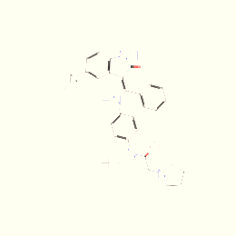 CN(C(=O)CN1CCCC1)c1ccc(NC(=C2C(=O)Nc3ccc([N+](=O)[O-])cc32)c2ccccc2)cc1